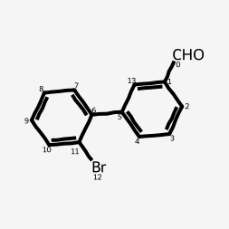 O=Cc1cccc(-c2ccccc2Br)c1